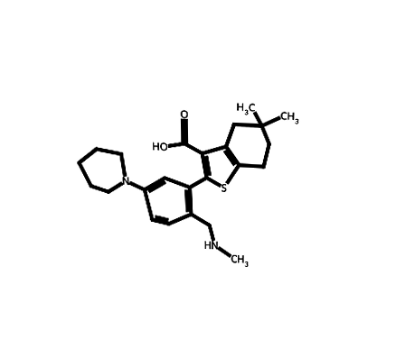 CNCc1ccc(N2CCCCC2)cc1-c1sc2c(c1C(=O)O)CC(C)(C)CC2